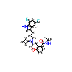 CC(C)NC(=O)c1cccc2c1CC(N(CCCc1c[nH]c3c(F)cc(F)cc13)C1CCC1)CO2